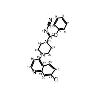 N#C/N=C(\Oc1ccccc1)N1CCN(c2ccnc3cc(Cl)ccc23)CC1